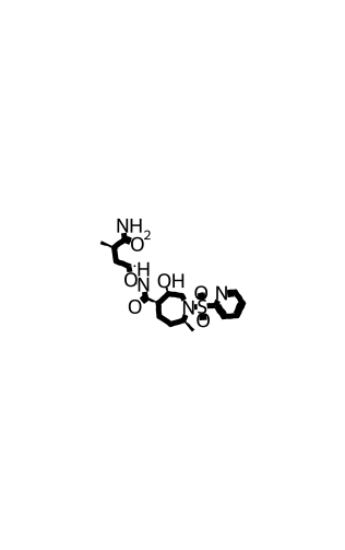 C[C@H](C[CH]ONC(=O)[C@@H]1CC[C@H](C)N(S(=O)(=O)c2ccccn2)C[C@H]1O)C(N)=O